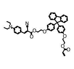 C=CC(=O)OCCOc1ccc(C2(c3ccc(OCCOC(=O)/C(C#N)=C/c4ccc(N(CC)CC)cc4)cc3)c3ccccc3-c3ccccc32)cc1